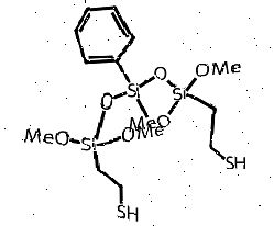 CO[Si](CCS)(OC)O[Si](C)(O[Si](CCS)(OC)OC)c1ccccc1